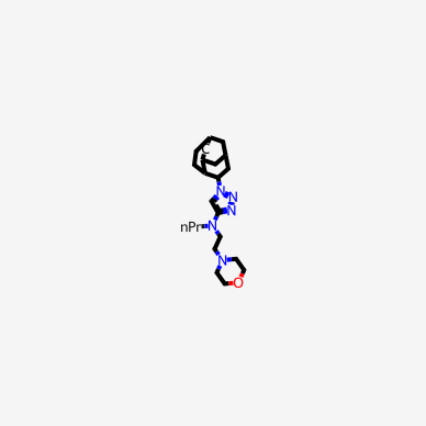 CCCN(CCN1CCOCC1)c1cn(C2CC3CC4CCC2C(C4)C3)nn1